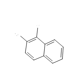 N#Cc1ccc2ccccc2c1[O]